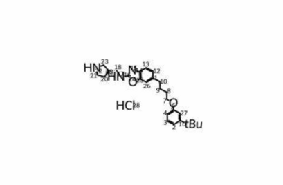 CC(C)(C)c1cccc(OCCCCc2ccc3nc(NC[C@@H]4CCNC4)oc3c2)c1.Cl